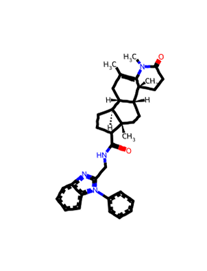 CC1=C2N(C)C(=O)CC[C@]2(C)[C@@H]2CC[C@]3(C)C(C(=O)NCc4nc5ccccc5n4-c4ccccc4)CC[C@H]3[C@@H]2C1